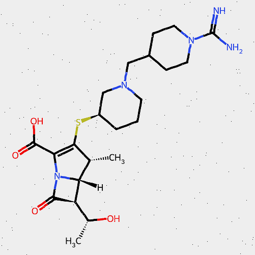 C[C@@H](O)[C@H]1C(=O)N2C(C(=O)O)=C(S[C@@H]3CCCN(CC4CCN(C(=N)N)CC4)C3)[C@H](C)[C@H]12